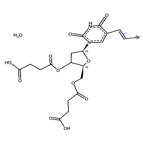 O.O=C(O)CCC(=O)OC[C@@H]1O[C@H](n2cc(/C=C/Br)c(=O)[nH]c2=O)CC1OC(=O)CCC(=O)O